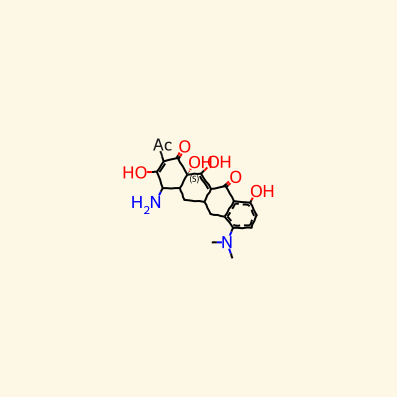 CC(=O)C1=C(O)C(N)C2CC3Cc4c(N(C)C)ccc(O)c4C(=O)C3=C(O)[C@]2(O)C1=O